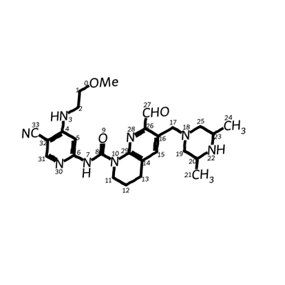 COCCNc1cc(NC(=O)N2CCCc3cc(CN4CC(C)NC(C)C4)c(C=O)nc32)ncc1C#N